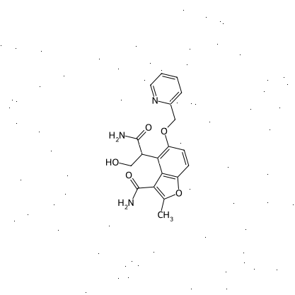 Cc1oc2ccc(OCc3ccccn3)c(C(CO)C(N)=O)c2c1C(N)=O